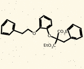 CCOC(=O)C(Cc1ccccc1)(Oc1ccccc1OCCc1ccccc1)C(=O)OCC